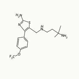 CC(C)(N)CCNCc1sc(N)nc1-c1ccc(OC(F)(F)F)cc1